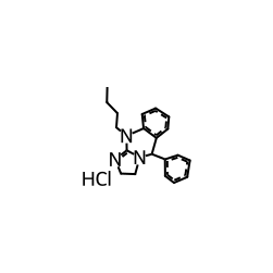 CCCCN1C2=NCCN2C(c2ccccc2)c2ccccc21.Cl